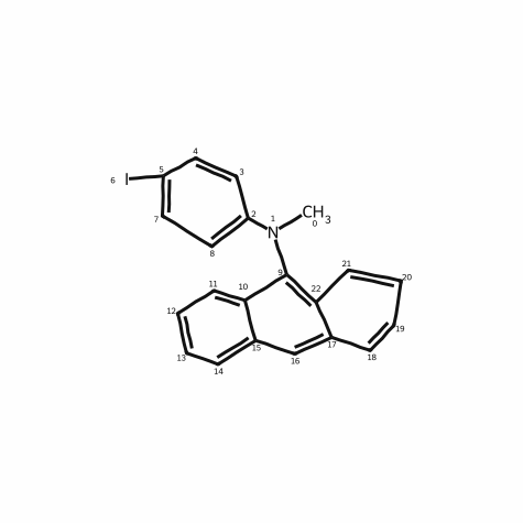 CN(c1ccc(I)cc1)c1c2ccccc2cc2ccccc12